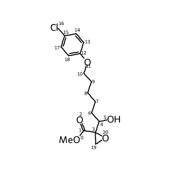 COC(=O)C1(C(O)CCCCCOc2ccc(Cl)cc2)CO1